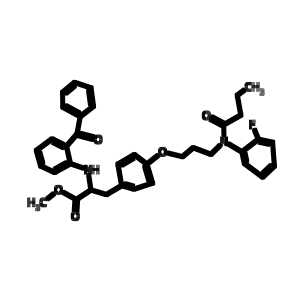 CCCC(=O)N(CCCOc1ccc(CC(Nc2ccccc2C(=O)c2ccccc2)C(=O)OC)cc1)c1ccccc1F